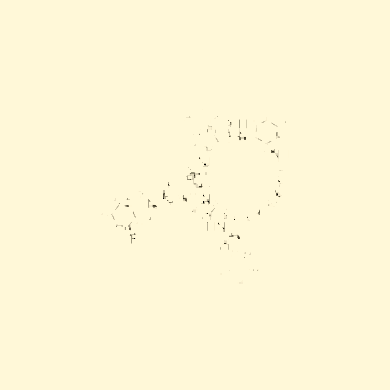 O=C(N[C@H]1CCCOCCCNc2ccccc2NC(=O)C(=O)C(CC2CCC2)NC(=O)[C@@H]2C[C@@H](OC(=O)N3Cc4cccc(F)c4C3)CN2C1=O)OC1CCCC1